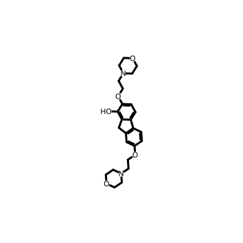 Oc1c(OCCN2CCOCC2)ccc2c1Cc1cc(OCCN3CCOCC3)ccc1-2